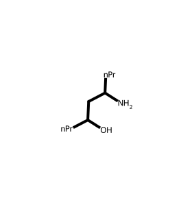 CCCC(N)CC(O)CCC